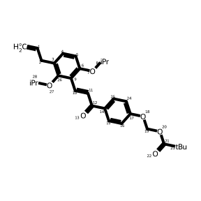 C=CCc1ccc(OC(C)C)c(/C=C/C(=O)c2ccc(OCOC(=O)C(C)(C)C)cc2)c1OC(C)C